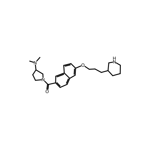 CN(C)C1CCN(C(=O)c2ccc3cc(OCCCC4CCCNC4)ccc3c2)C1